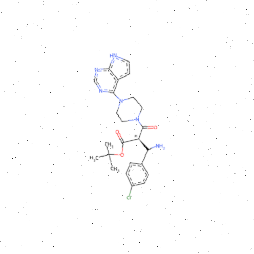 CC(C)(C)OC(=O)[C@@H](C(=O)N1CCN(c2ncnc3[nH]ccc23)CC1)C(N)c1ccc(Cl)cc1